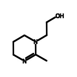 CC1=NCCCN1CCO